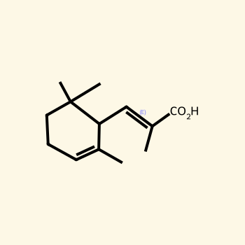 CC1=CCCC(C)(C)C1/C=C(\C)C(=O)O